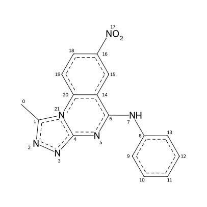 Cc1nnc2nc(Nc3ccccc3)c3cc([N+](=O)[O-])ccc3n12